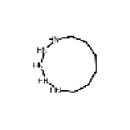 C1CCCNNNNNCC1